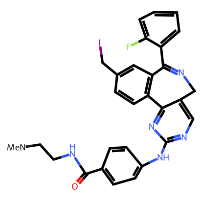 CNCCNC(=O)c1ccc(Nc2ncc3c(n2)-c2ccc(CI)cc2C(c2ccccc2F)=NC3)cc1